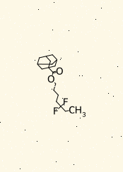 CCC(F)(F)CCCCOC(=O)C12CC3CC(CC(C3)C1)C2